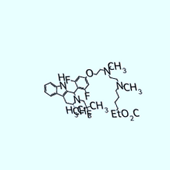 CCOC(=O)CCCCN(C)CCN(C)CCOc1cc(F)c(C2c3[nH]c4ccccc4c3C[C@@H](C)N2CC(C)(C)F)c(F)c1